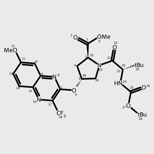 COC(=O)[C@@H]1C[C@@H](Oc2nc3cc(OC)ccc3nc2C(F)(F)F)CN1C(=O)[C@@H](NC(=O)OC(C)(C)C)C(C)(C)C